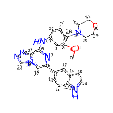 COc1cc(Nc2nc(-c3ccc4[nH]ccc4c3)cn3cnnc23)ccc1N1CCOCC1